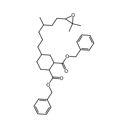 CC(CCCC1CCC(C(=O)OCc2ccccc2)C(C(=O)OCc2ccccc2)C1)CCC1OC1(C)C